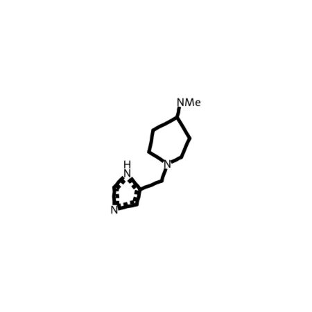 CNC1CCN(Cc2cnc[nH]2)CC1